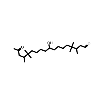 CC(=O)CC(C)C(C)(C)CCCCC(O)CCCCC(C)(C)C(C)CC=O